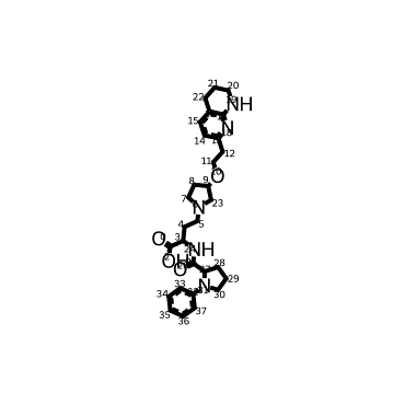 O=C(O)C(CCN1CCC(OCCc2ccc3c(n2)NCCC3)C1)NC(=O)C1CCCN1c1ccccc1